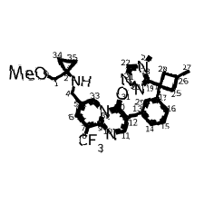 COCC1(NCc2cc(C(F)(F)F)c3ncc(-c4cccc(C5(c6nncn6C)CC(C)C5)c4)c(=O)n3c2)CC1